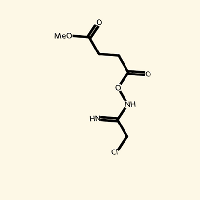 COC(=O)CCC(=O)ONC(=N)CCl